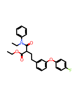 CCOC(=O)C(CCc1cccc(Oc2ccc(F)cc2)c1)C(=O)N(CC)c1ccccc1